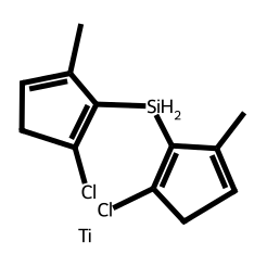 CC1=CCC(Cl)=C1[SiH2]C1=C(Cl)CC=C1C.[Ti]